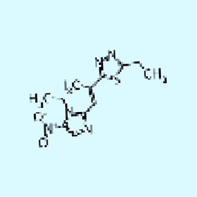 CCc1nnc(C(C)=Cc2ncc([N+](=O)[O-])n2CC)s1